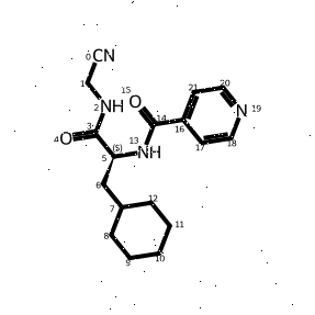 N#CCNC(=O)[C@H](CC1CCCCC1)NC(=O)c1ccncc1